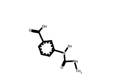 CNC(=O)N(S)c1cccc(C(=O)O)c1